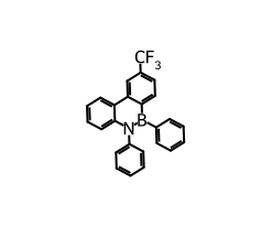 FC(F)(F)c1ccc2c(c1)-c1ccccc1N(c1ccccc1)B2c1ccccc1